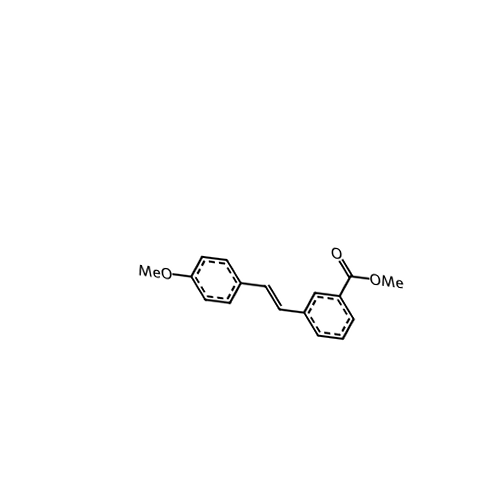 COC(=O)c1cccc(/C=C/c2ccc(OC)cc2)c1